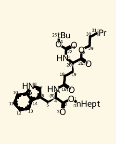 CCCCCCCOC(=O)[C@@H](Cc1c[nH]c2ccccc12)NC(=O)CC[C@@H](NC(=O)OC(C)(C)C)C(=O)OCCC(C)C